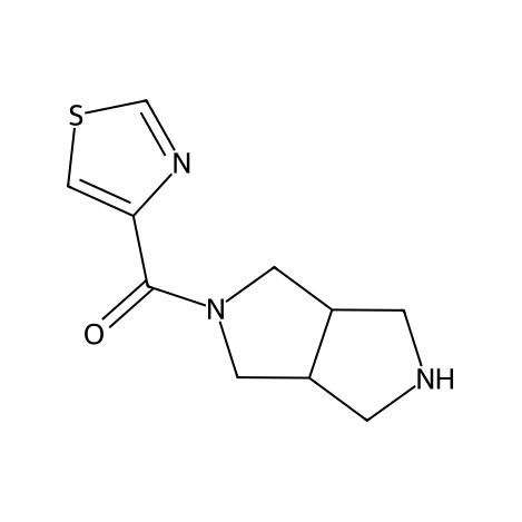 O=C(c1cscn1)N1CC2CNCC2C1